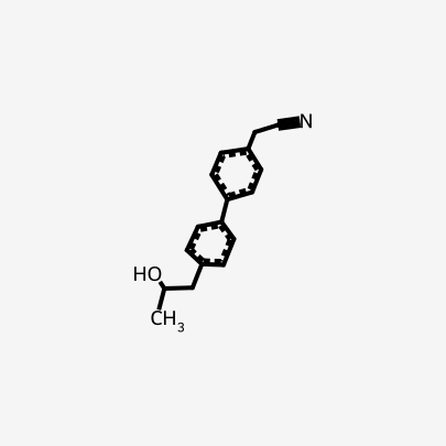 CC(O)Cc1ccc(-c2ccc(CC#N)cc2)cc1